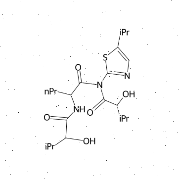 CCCC(NC(=O)C(O)C(C)C)C(=O)N(C(=O)C(O)C(C)C)c1ncc(C(C)C)s1